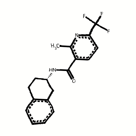 Cc1nc(C(F)(F)F)ccc1C(=O)N[C@H]1CCc2ccccc2C1